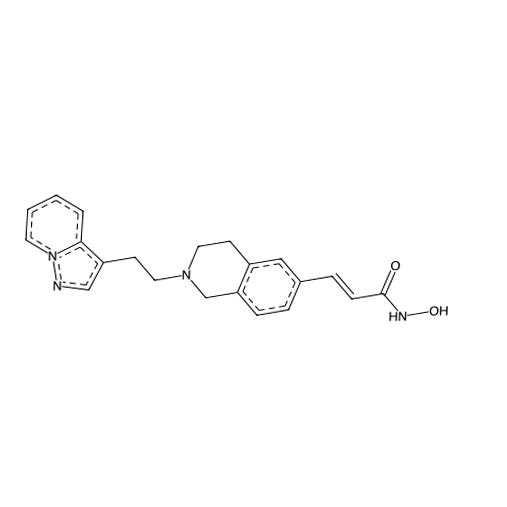 O=C(C=Cc1ccc2c(c1)CCN(CCc1cnn3ccccc13)C2)NO